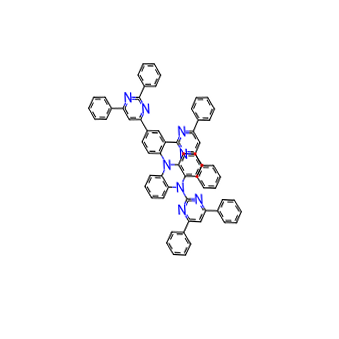 c1ccc(-c2cc(-c3ccc(N4c5ccccc5N(c5nc(-c6ccccc6)cc(-c6ccccc6)n5)c5ccccc54)c(-c4nc(-c5ccccc5)cc(-c5ccccc5)n4)c3)nc(-c3ccccc3)n2)cc1